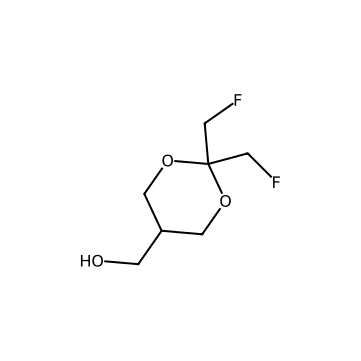 OCC1COC(CF)(CF)OC1